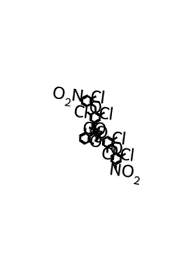 Cc1cccc(C)c1N(S(=O)(=O)c1cc(Cl)c(Oc2ccc([N+](=O)[O-])cc2Cl)c(Cl)c1)S(=O)(=O)c1cc(Cl)c(Oc2ccc([N+](=O)[O-])cc2Cl)c(Cl)c1